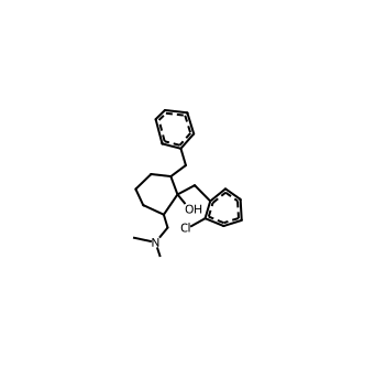 CN(C)CC1CCCC(Cc2ccccc2)C1(O)Cc1ccccc1Cl